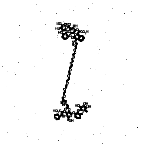 CC1CCC[C@@H](O[C@@H]2OC(CO)[C@H](O)C(O[C@@H](CC3CCCCC3)C(=O)O)C2OC(=O)Cn2cc(COCCOCCOCCOCCOCCOCCOCCOCc3cn(CC(=O)OC4C(O[C@@H](CC5CCCCC5)C(=O)O)[C@@H](O)C(CO)O[C@H]4O[C@@H]4CCCC(C)C4O[C@@H]4OC(C)[C@@H](O)C(O)C4O)nn3)nn2)C1O[C@@H]1OC(C)[C@@H](O)C(O)C1O